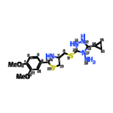 COc1ccc(C2NC(CSC3NNC(C4CC4)N3N)CS2)cc1OC